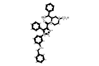 CC(C)(C)C(c1ccccc1)C1CN(C(=O)O)CCN1C(=O)c1nnn(-c2cccc(OCc3ccccc3)c2)c1-c1ccccc1